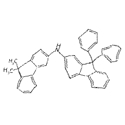 CC1(C)c2ccccc2-c2cc(Nc3ccc4c(c3)C(c3ccccc3)(c3ccccc3)c3ccccc3-4)ccc21